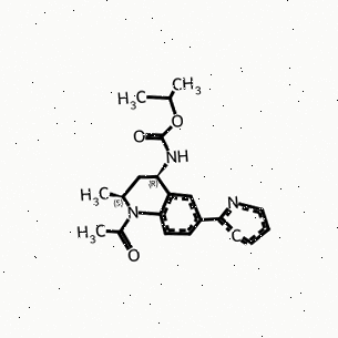 CC(=O)N1c2ccc(-c3ccccn3)cc2[C@H](NC(=O)OC(C)C)C[C@@H]1C